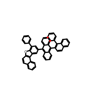 c1ccc(-c2c(-c3c4ccccc4c(-c4cc(-c5ccccc5)c5oc6ccc7ccccc7c6c5c4)c4ccccc34)ccc3ccccc23)cc1